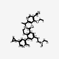 CCOc1cc(C(C)N2CCc3c(cc(CCN(C)CC)cc3-c3cc(C4CC4)cnc3C)C2=O)ncc1C#N